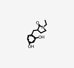 CCN1CCC(Cc2ccc(O)cc2O)C1=O